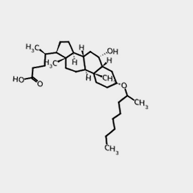 CCCCCCC(C)O[C@@H]1CC[C@]2(C)[C@H]3CC[C@]4(C)[C@@H]([C@H](C)CCC(=O)O)CC[C@H]4[C@@H]3C[C@H](O)[C@@H]2C1